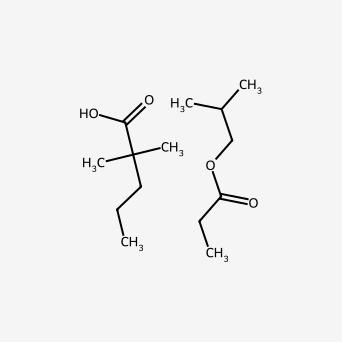 CCC(=O)OCC(C)C.CCCC(C)(C)C(=O)O